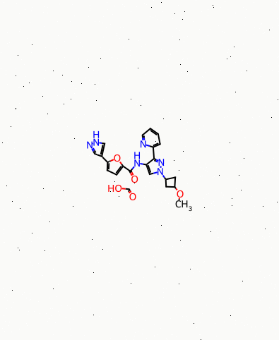 COC1CC(n2cc(NC(=O)c3ccc(-c4cn[nH]c4)o3)c(-c3ccccn3)n2)C1.O=CO